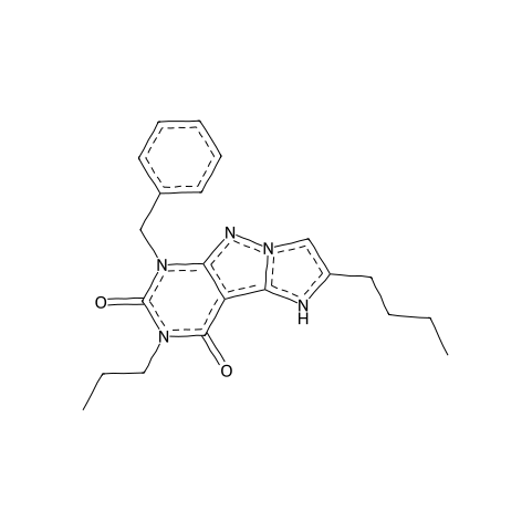 CCCCc1cn2nc3c(c(=O)n(CCC)c(=O)n3Cc3ccccc3)c2[nH]1